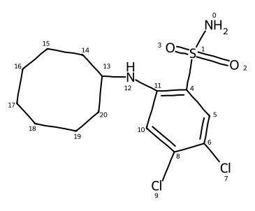 NS(=O)(=O)c1cc(Cl)c(Cl)cc1NC1CCCCCCC1